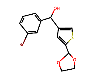 OC(c1cccc(Br)c1)c1csc(C2OCCO2)c1